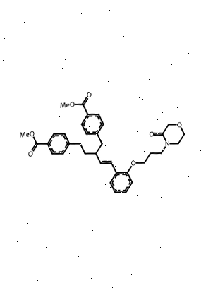 COC(=O)c1ccc(CCC(C=Cc2ccccc2OCCCN2CCOCC2=O)Cc2ccc(C(=O)OC)cc2)cc1